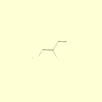 COCC(N)CS